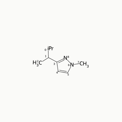 CC(C)C(C)c1ccn(C)n1